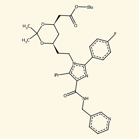 CC(C)c1c(C(=O)NCc2cccnc2)nc(-c2ccc(F)cc2)n1CC[C@@H]1C[C@H](CC(=O)OC(C)(C)C)OC(C)(C)O1